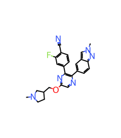 CN1CCC(COc2cnc(-c3ccc4nn(C)cc4c3)c(-c3ccc(C#N)c(F)c3)n2)C1